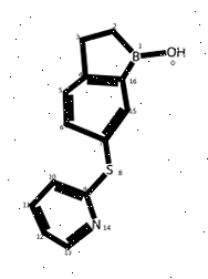 OB1CCc2ccc(Sc3ccccn3)cc21